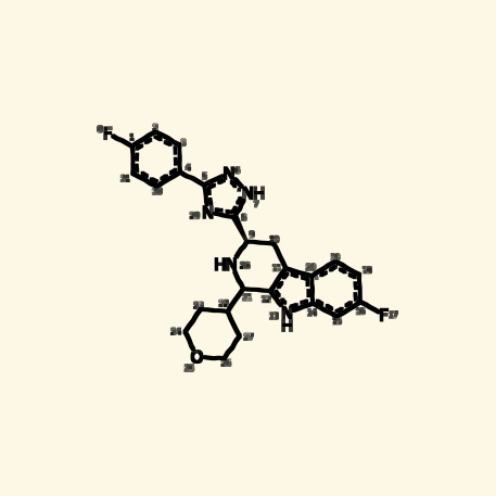 Fc1ccc(-c2n[nH]c([C@H]3Cc4c([nH]c5cc(F)ccc45)C(C4CCOCC4)N3)n2)cc1